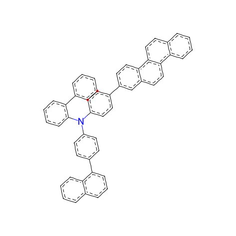 c1ccc(-c2ccccc2N(c2ccc(-c3ccc4c(ccc5c6ccccc6ccc45)c3)cc2)c2ccc(-c3cccc4ccccc34)cc2)cc1